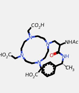 CC(=O)NC(CN1CCN(CC(=O)O)CCN(CC(=O)O)CCN(CC(=O)O)CC1)C(=O)N[C@H](C)c1ccccc1